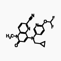 Cn1c(=O)cc(N(CC2CC2)c2ccc(OC(F)F)nc2)c2nc(C#N)ccc21